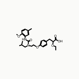 CCOC(Cc1ccc(OCCN(CC(C)C)C(=O)Nc2cc(C)ccc2OC)cc1)C(=O)O